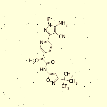 C=C(C(=O)Nc1cc(C(C)(C)C(F)(F)F)no1)c1ccc(-c2nn(C(C)C)c(N)c2C#N)nc1